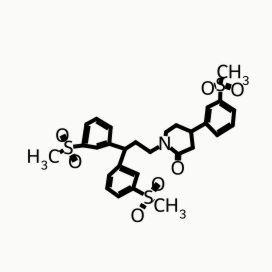 CS(=O)(=O)c1cccc(C2CCN(CCC(c3cccc(S(C)(=O)=O)c3)c3cccc(S(C)(=O)=O)c3)C(=O)C2)c1